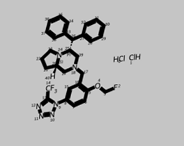 Cl.Cl.FCOc1ccc(-n2nnnc2C(F)(F)F)cc1CN1C[C@@H]2CCCN2[C@H](C(c2ccccc2)c2ccccc2)C1